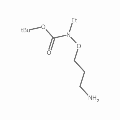 CCN(OCCCN)C(=O)OC(C)(C)C